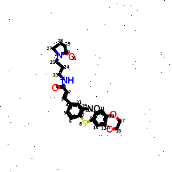 O=C(C=Cc1ccc(Sc2ccc3c(c2)OCCO3)c([N+](=O)[O-])c1)NCCCN1CCCC1=O